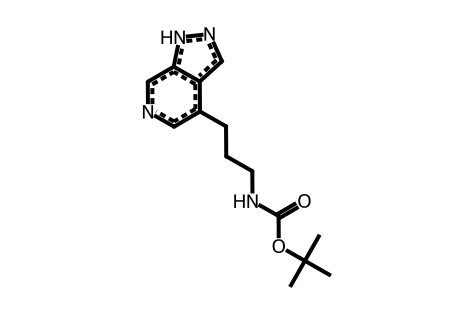 CC(C)(C)OC(=O)NCCCc1cncc2[nH]ncc12